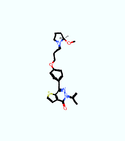 CO[C@]1(C)CCCN1CCCOc1ccc(-c2nn(C(C)C)c(=O)c3ccsc23)cc1